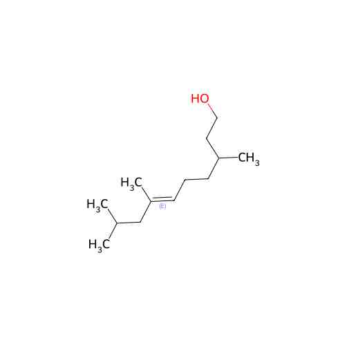 C/C(=C\CCC(C)CCO)CC(C)C